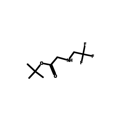 CC(C)(C)OC(=O)CNCC(F)(F)F